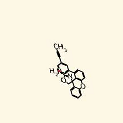 CC#Cc1cncc(-c2cccc3c2C2(COC(N)=N2)c2ccccc2O3)c1